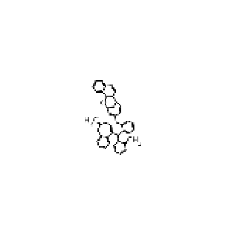 C=C1CC=C(/C(c2ccccc2CC2=CC3=CC(C=C2)c2ccc4ccccc4c2O3)=c2\ccccc2=C)c2ccccc2C1